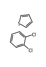 Clc1ccccc1Cl.c1ccsc1